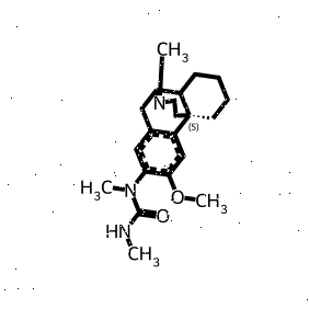 CNC(=O)N(C)c1cc2c(cc1OC)[C@]13CCCCC1C(C2)N(C)CC3